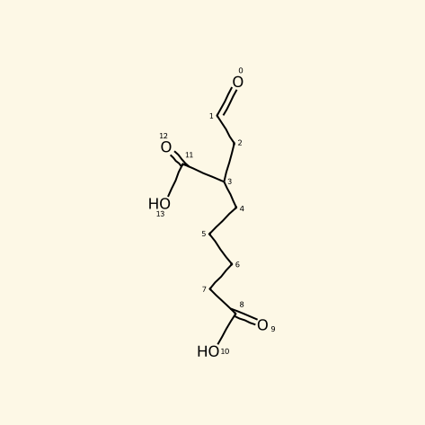 O=CCC(CCCCC(=O)O)C(=O)O